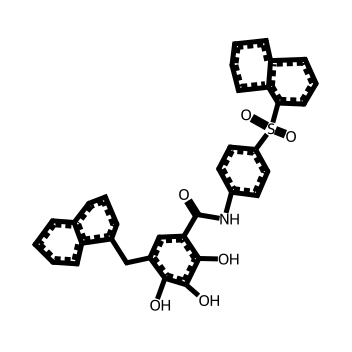 O=C(Nc1ccc(S(=O)(=O)c2cccc3ccccc23)cc1)c1cc(Cc2cccc3ccccc23)c(O)c(O)c1O